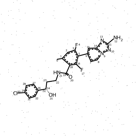 Cc1cc(F)c(-c2ccn3nc(N)nc3c2)c(F)c1C(=O)NCC[C@H](O)c1ccc(Cl)cc1